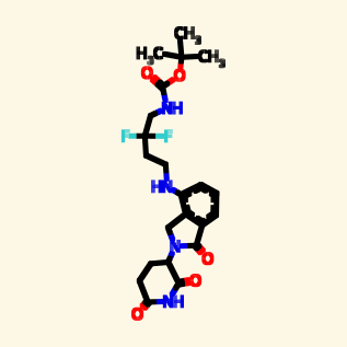 CC(C)(C)OC(=O)NCC(F)(F)CCNc1cccc2c1CN(C1CCC(=O)NC1=O)C2=O